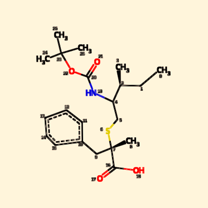 CC[C@H](C)C(CS[C@@](C)(Cc1ccccc1)C(=O)O)NC(=O)OC(C)(C)C